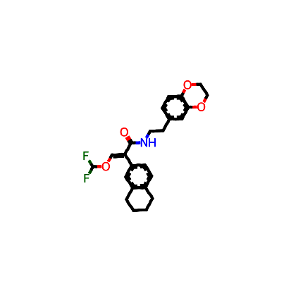 O=C(NCCc1ccc2c(c1)OCCO2)/C(=C/OC(F)F)c1ccc2c(c1)CCCC2